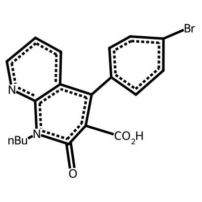 CCCCn1c(=O)c(C(=O)O)c(-c2ccc(Br)cc2)c2cccnc21